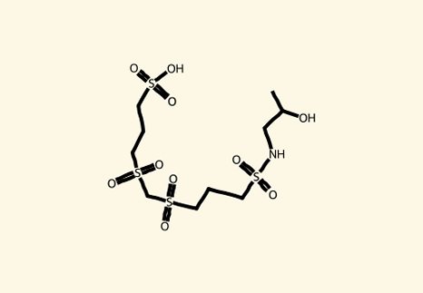 CC(O)CNS(=O)(=O)CCCS(=O)(=O)CS(=O)(=O)CCCS(=O)(=O)O